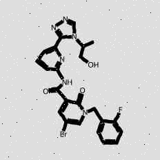 CC(CO)n1cnnc1-c1cccc(NC(=O)c2cc(Br)cn(Cc3ccccc3F)c2=O)n1